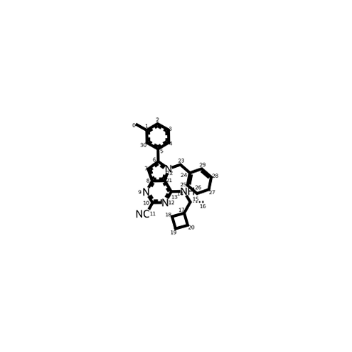 Cc1cccc(-c2cc3nc(C#N)nc(N[C@H](C)C4CCC4)c3n2CC2=CCCC=C2)c1